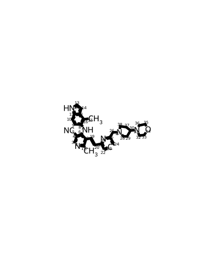 Cc1ncc(C#N)c(Nc2ccc3[nH]ccc3c2C)c1C=Cc1cccc(CN2CCC(N3CCOCC3)CC2)n1